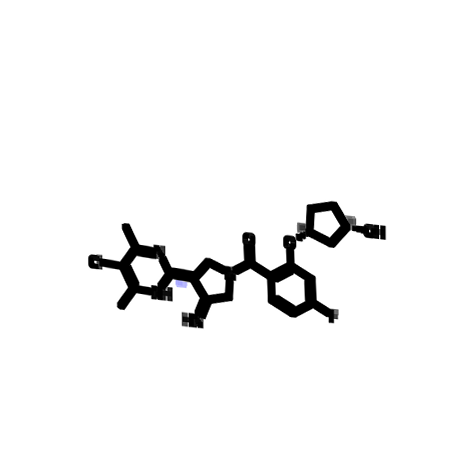 CC1=N/C(=C2\CN(C(=O)c3ccc(F)cc3O[C@@H]3CC[C@H](O)C3)CC2=N)NC(C)=C1Cl